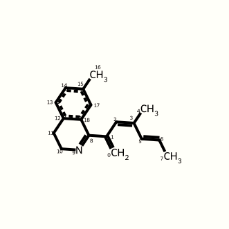 C=C(/C=C(C)\C=C\C)C1=NCCc2ccc(C)cc21